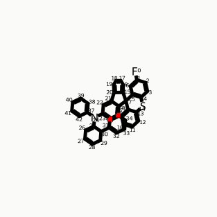 Fc1ccc2c(c1)C1(c3ccccc3S2)c2ccccc2-c2cc(N(C3=CC=CCC3c3ccccc3)c3ccccc3)ccc21